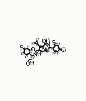 O=C(N[C@H](CCO)c1ccc(F)cc1)c1cn2nc(-c3ccc(Cl)cc3F)[nH]c(=O)c2c1C1CC1